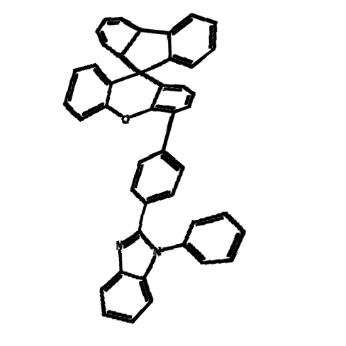 C1=CC2c3ccccc3C3(c4ccccc4Oc4c(-c5ccc(-c6nc7ccccc7n6-c6ccccc6)cc5)cccc43)C2C=C1